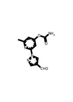 Cc1cc(OC(N)=O)cc(-n2cc(C=O)cn2)n1